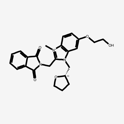 C[n+]1c(CN2C(=O)c3ccccc3C2=O)n(C[C@@H]2CCCO2)c2cc(OCCO)ccc21